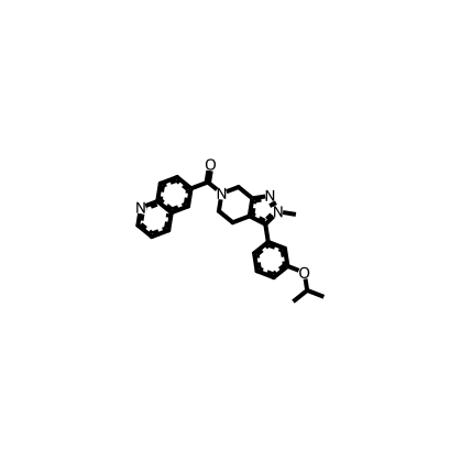 CC(C)Oc1cccc(-c2c3c(nn2C)CN(C(=O)c2ccc4ncccc4c2)CC3)c1